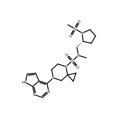 CN(C[C@H]1CCCN1S(C)(=O)=O)S(=O)(=O)N1CCN(c2ncnc3[nH]ccc23)CC12CC2